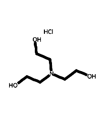 Cl.OCCN(CCO)CCO